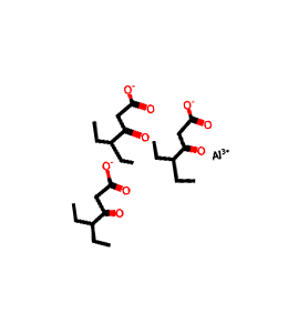 CCC(CC)C(=O)CC(=O)[O-].CCC(CC)C(=O)CC(=O)[O-].CCC(CC)C(=O)CC(=O)[O-].[Al+3]